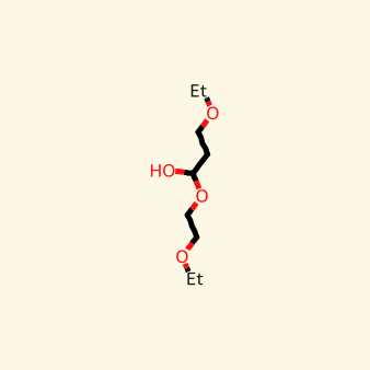 CCOCCOC(O)CCOCC